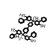 CC(c1ccc(-c2ccc(C(C)(c3ccc(S)c(-c4ccccc4)c3)c3ccc(S)c(-c4ccccc4)c3)cc2)cc1)(c1ccc(S)c(-c2ccccc2)c1)c1ccc(S)c(-c2ccccc2)c1